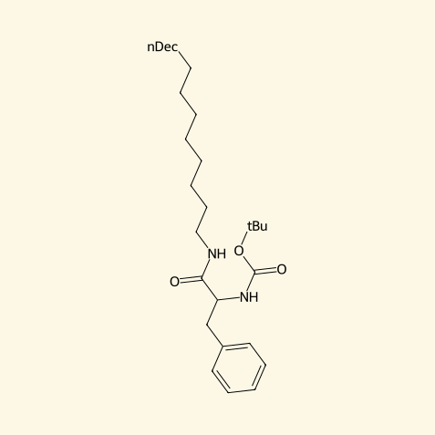 CCCCCCCCCCCCCCCCCCNC(=O)C(Cc1ccccc1)NC(=O)OC(C)(C)C